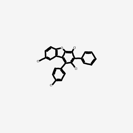 Clc1ccc(-c2c(Cl)c(-c3ccccc3)c(Cl)c3oc4ccc(Cl)cc4c23)cc1